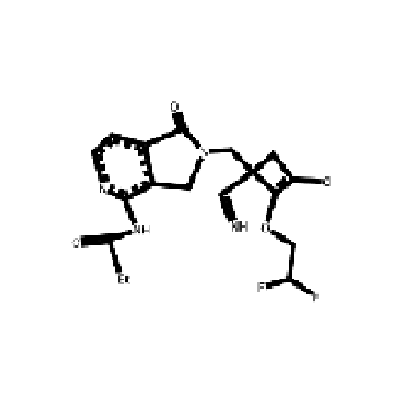 CCC(=O)Nc1nccc2c1CN(CC1(C=N)CC(Cl)=C1OCC(F)F)C2=O